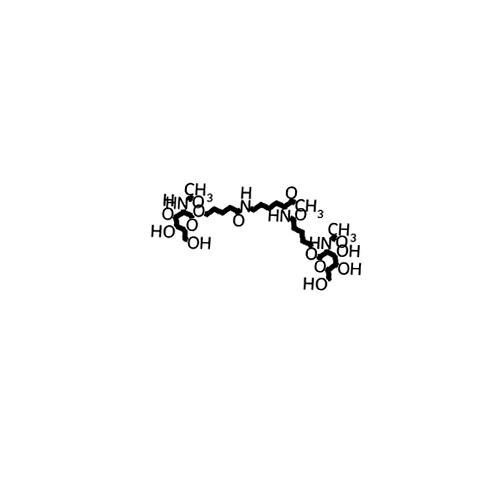 CC(=O)NC1C(OCCCCC(=O)NCCCCC(NC(=O)CCCCOC2OC(CO)C(O)C(O)C2NC(C)=O)C(C)=O)OC(CO)C(O)C1O